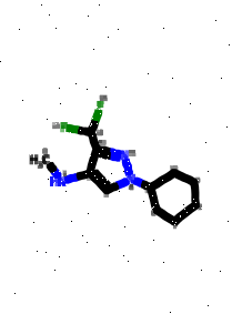 CNc1cn(C2C[CH]CCC2)nc1C(F)F